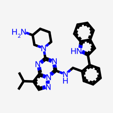 CC(C)c1cnn2c(NCc3ccccc3-c3cc4ccccc4[nH]3)nc(N3CCCC(N)C3)nc12